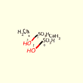 O=S(=O)(O)O.O=S(=O)(O)O.[CaH2].[CaH2]